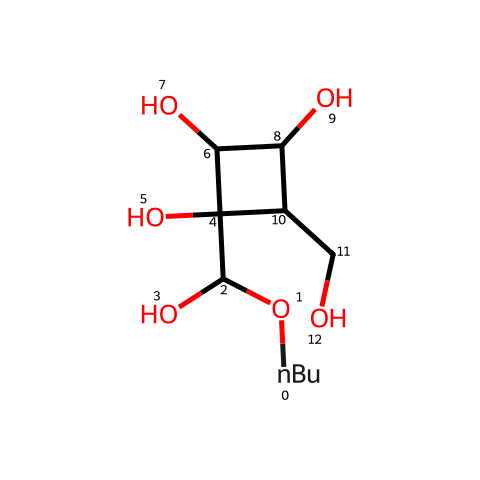 CCCCOC(O)C1(O)C(O)C(O)C1CO